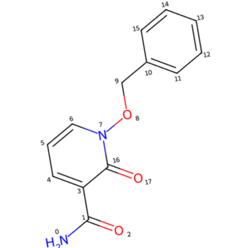 NC(=O)c1cccn(OCc2ccccc2)c1=O